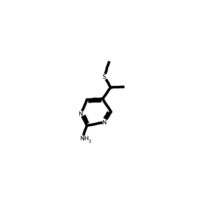 CSC(C)c1cnc(N)nc1